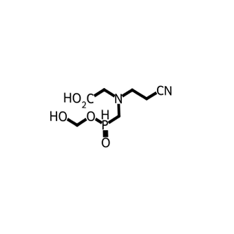 N#CCCN(CC(=O)O)C[PH](=O)OCO